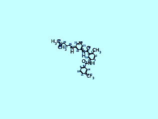 Cc1ccc(NC(=O)c2cccc(C(F)(F)F)c2)cc1C(=O)Nc1cncc(NCCCN(C)C)c1